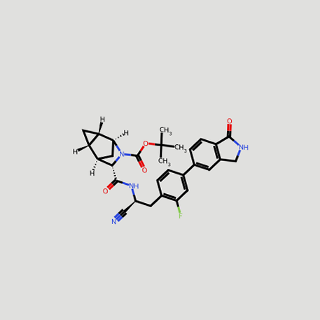 CC(C)(C)OC(=O)N1[C@H](C(=O)N[C@H](C#N)Cc2ccc(-c3ccc4c(c3)CNC4=O)cc2F)[C@@H]2C[C@H]1[C@H]1C[C@@H]21